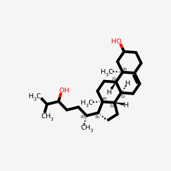 CC(C)C(O)CC[C@@H](C)[C@H]1CC[C@H]2[C@@H]3CC=C4CCC(O)C[C@]4(C)[C@H]3CC[C@]12C